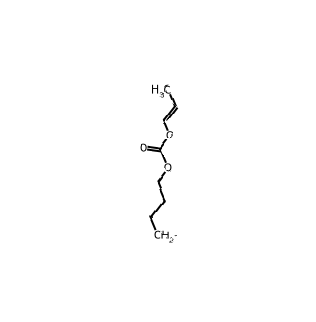 [CH2]CCCOC(=O)OC=CC